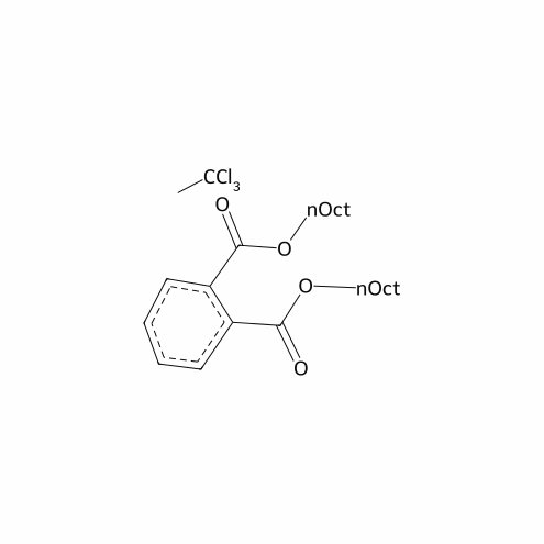 CC(Cl)(Cl)Cl.CCCCCCCCOC(=O)c1ccccc1C(=O)OCCCCCCCC